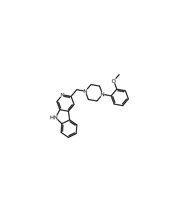 COc1ccccc1N1CCN(Cc2cc3c(cn2)[nH]c2ccccc23)CC1